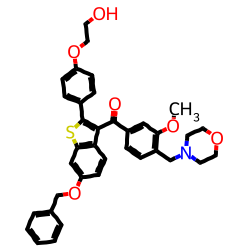 COc1cc(C(=O)c2c(-c3ccc(OCCO)cc3)sc3cc(OCc4ccccc4)ccc23)ccc1CN1CCOCC1